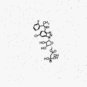 CC(Nc1cc(Cl)cc2c1nnn2[C@@H]1O[C@H](COP(=O)(O)CP(=O)(O)O)[C@@H](O)[C@H]1O)c1ccccc1F